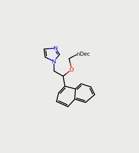 CCCCCCCCCCCOC(Cn1ccnc1)c1cccc2ccccc12